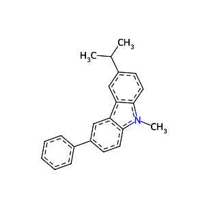 CC(C)c1ccc2c(c1)c1cc(-c3ccccc3)ccc1n2C